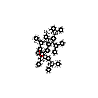 O=C(OCc1ccccc1)c1ccc2c(c1)B1c3cc(C(=O)OCc4ccccc4)ccc3N(c3cc(-c4ccccc4)cc(-c4ccccc4)c3)c3cc(-c4ccc5c(c4)c4ccccc4n5-c4ccc(-c5nc(-c6ccccc6)cc(-c6ccccc6)n5)cc4-c4nc(-c5ccccc5)nc(-c5ccccc5)n4)cc(c31)N2c1cc(-c2ccccc2)cc(-c2ccccc2)c1